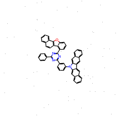 c1ccc(-c2nc(-c3cccc(-n4c5cc6ccccc6cc5c5cc6ccccc6cc54)c3)nc(-c3cccc4oc5c6ccccc6ccc5c34)n2)cc1